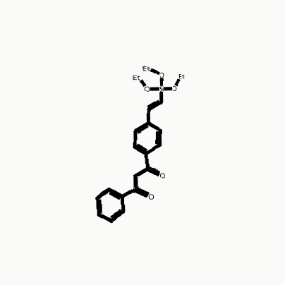 CCO[Si](/C=C/c1ccc(C(=O)CC(=O)c2ccccc2)cc1)(OCC)OCC